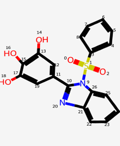 O=S(=O)(c1ccccc1)n1c(-c2cc(O)c(O)c(O)c2)nc2ccccc21